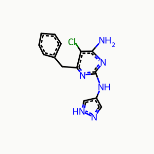 Nc1nc(Nc2cn[nH]c2)nc(Cc2ccccc2)c1Cl